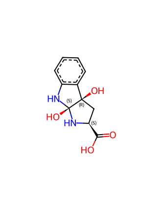 O=C(O)[C@@H]1C[C@@]2(O)c3ccccc3N[C@@]2(O)N1